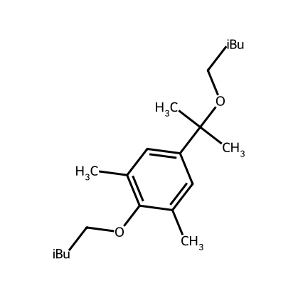 CCC(C)COc1c(C)cc(C(C)(C)OCC(C)CC)cc1C